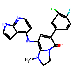 CN1CCn2c1c(Nc1ccnc3[nH]ccc13)cc(-c1ccc(F)c(Cl)c1)c2=O